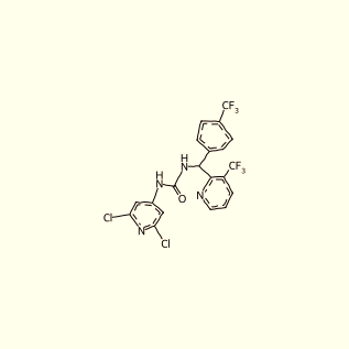 O=C(Nc1cc(Cl)nc(Cl)c1)NC(c1ccc(C(F)(F)F)cc1)c1ncccc1C(F)(F)F